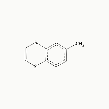 Cc1ccc2c(c1)SC=CS2